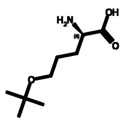 CC(C)(C)OCCC[C@@H](N)C(=O)O